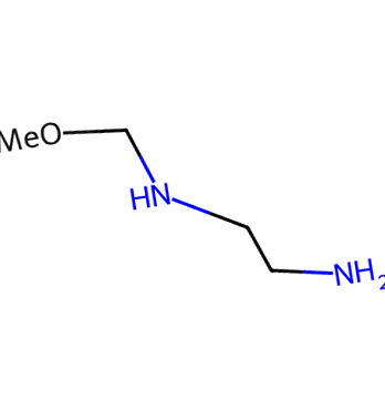 COCNCCN